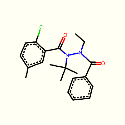 CCN(C(=O)c1ccccc1)N(C(=O)c1cc(C)ccc1Cl)C(C)(C)C